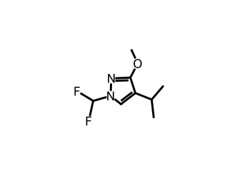 COc1nn(C(F)F)cc1C(C)C